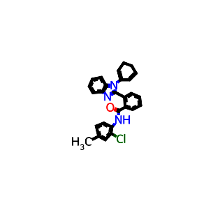 Cc1ccc(NC(=O)c2ccccc2-c2nc3ccccc3n2C2=CCCC=C2)c(Cl)c1